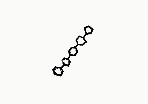 c1ccc(-c2ccc(-c3ccc(C4CCC(C5CCCC5)CC4)cc3)cn2)cc1